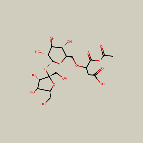 CC(=O)OC(=O)C(CC(=O)O)OC[C@H]1O[C@H](O[C@]2(CO)O[C@H](CO)[C@@H](O)[C@@H]2O)[C@H](O)[C@@H](O)[C@@H]1O